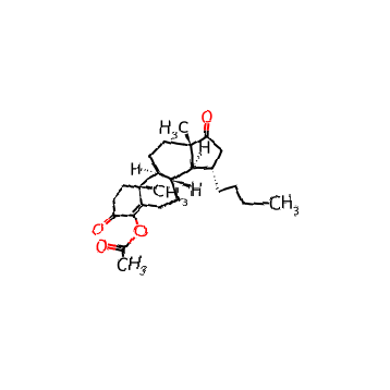 CCCC[C@H]1CC(=O)[C@@]2(C)CC[C@H]3[C@@H](CCC4=C(OC(C)=O)C(=O)CC[C@@]43C)[C@H]12